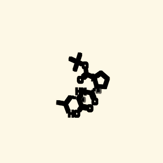 CC(C)C[C@H](NC(=O)[C@H]1CCCN1C(=O)OC(C)(C)C)C(=O)O